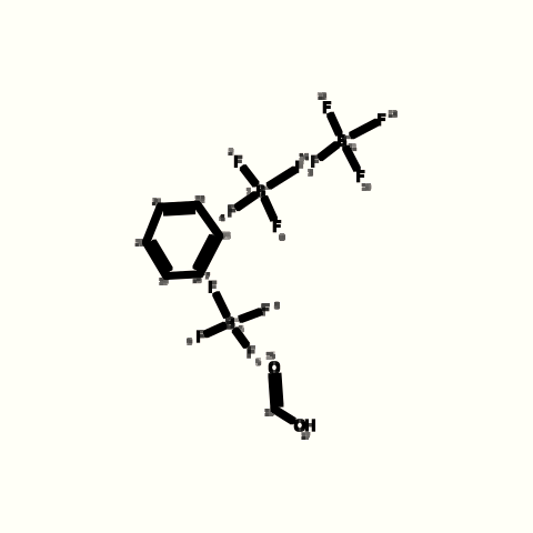 F[B-](F)(F)F.F[B-](F)(F)F.F[B-](F)(F)F.O=CO.c1ccccc1